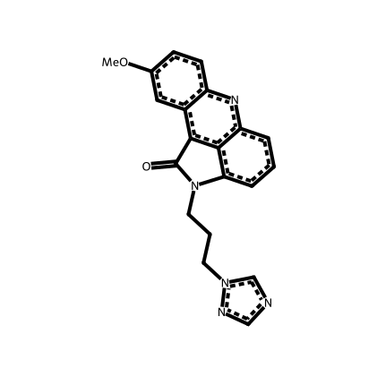 COc1ccc2nc3cccc4c3c(c2c1)C(=O)N4CCCn1cncn1